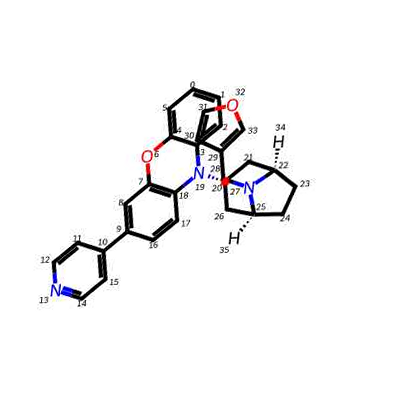 c1ccc2c(c1)Oc1cc(-c3ccncc3)ccc1N2[C@@H]1C[C@H]2CC[C@@H](C1)N2Cc1ccoc1